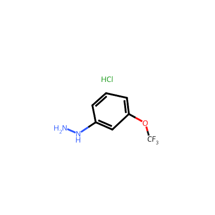 Cl.NNc1cccc(OC(F)(F)F)c1